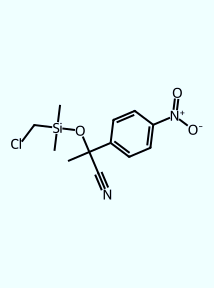 CC(C#N)(O[Si](C)(C)CCl)c1ccc([N+](=O)[O-])cc1